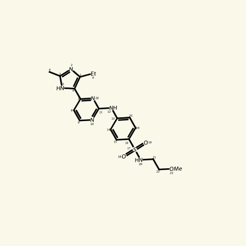 CCc1nc(C)[nH]c1-c1ccnc(Nc2ccc(S(=O)(=O)NCCOC)cc2)n1